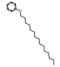 CCCCCCCCCCCCCCCOc1cc[c]cc1